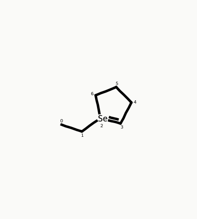 CC[Se]1=CCCC1